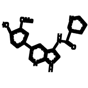 COc1cc(-c2cnc3[nH]cc(NC(=O)c4cccnc4)c3c2)ccc1O